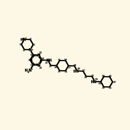 Nc1cc(N2CCNCC2)nc(NCC2CCC(CNCCCNC3CCCCC3)CC2)n1